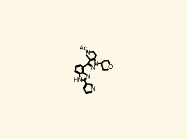 CC(=O)N1CCc2c(c(-c3cccc4[nH]c(-c5cccnc5)nc34)nn2C2CCOCC2)C1